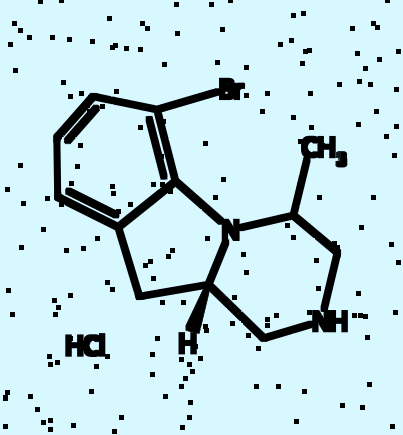 CC1CNC[C@@H]2Cc3cccc(Br)c3N12.Cl